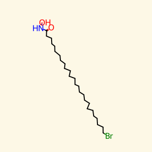 O=C(CCCCCCCCCCCCCCCCCCCCCCCCCBr)NO